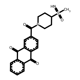 CS(=N)(=O)C1CCN(C(=O)c2ccc3c(c2)C(=O)c2ccccc2C3=O)CC1